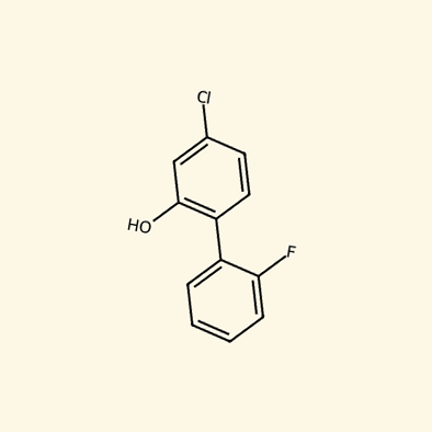 Oc1cc(Cl)ccc1-c1ccccc1F